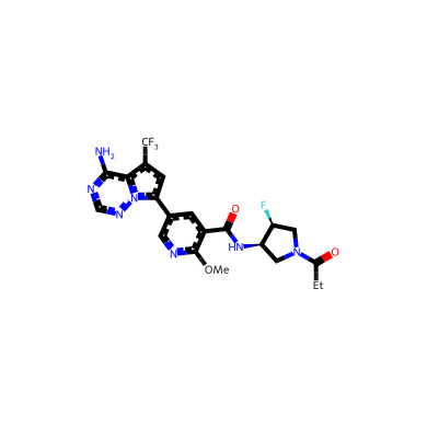 CCC(=O)N1C[C@H](F)[C@H](NC(=O)c2cc(-c3cc(C(F)(F)F)c4c(N)ncnn34)cnc2OC)C1